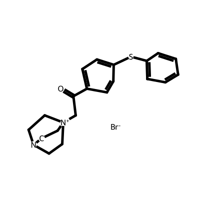 O=C(C[N+]12CCN(CC1)CC2)c1ccc(Sc2ccccc2)cc1.[Br-]